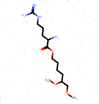 N=C(N)NCCCC(N)C(=O)OCCCCC(CO[N+](=O)[O-])O[N+](=O)[O-]